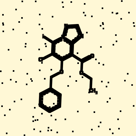 CCOC(=O)c1c(OCc2ccccc2)c(Cl)c(I)n2ncnc12